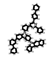 c1ccc(-c2ccc(-c3cc(-c4cccc(-n5c6ccc(-c7cccc(-c8ccccc8)c7)cc6c6cc(-n7c8ccccc8c8cc9ccccc9cc87)ccc65)c4)nc(-c4ccccc4)n3)cc2)cc1